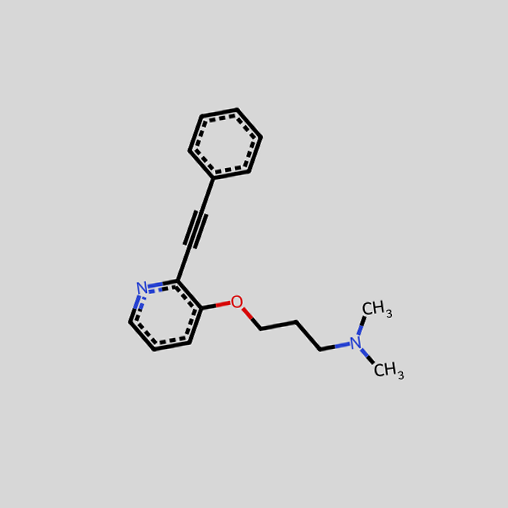 CN(C)CCCOc1cccnc1C#Cc1ccccc1